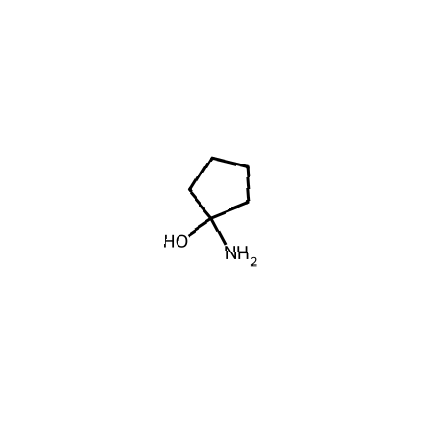 NC1(O)CCCC1